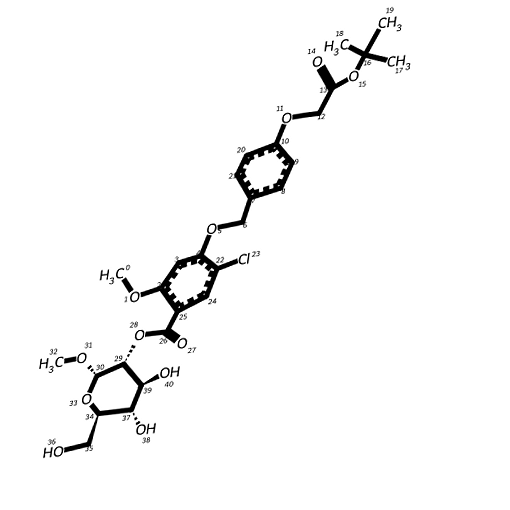 COc1cc(OCc2ccc(OCC(=O)OC(C)(C)C)cc2)c(Cl)cc1C(=O)O[C@H]1[C@@H](OC)O[C@H](CO)[C@@H](O)[C@@H]1O